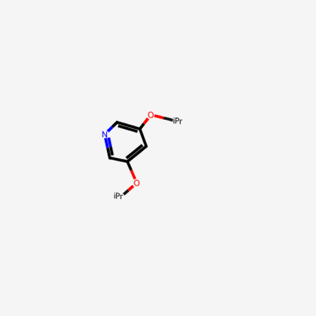 CC(C)Oc1cncc(OC(C)C)c1